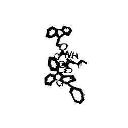 CC[C@H](C)[C@H](NC(=O)OCC1c2ccccc2-c2ccccc21)C(=O)OC(c1ccccc1)(c1ccc(C2CCCCCC2)cc1)c1ccccc1Cl